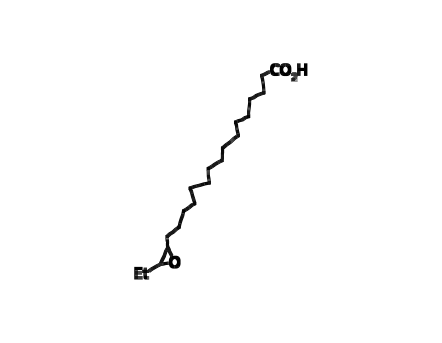 CCC1OC1CCCCCCCCCCCCCCCC(=O)O